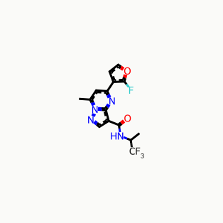 Cc1cc(-c2ccoc2F)nc2c(C(=O)NC(C)C(F)(F)F)cnn12